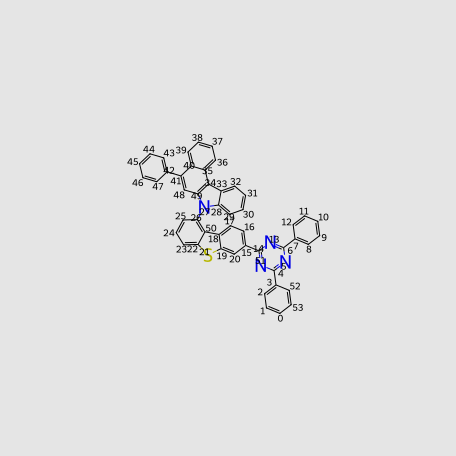 c1ccc(-c2nc(-c3ccccc3)nc(-c3ccc4c(c3)sc3cccc(-n5c6ccccc6c6c7ccccc7c(-c7ccccc7)cc65)c34)n2)cc1